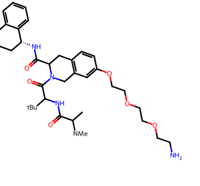 CNC(C)C(=O)NC(C(=O)N1Cc2cc(OCCOCCOCCN)ccc2CC1C(=O)N[C@@H]1CCCc2ccccc21)C(C)(C)C